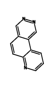 c1cnc2ccc3cnncc3c2c1